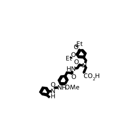 CCOc1ccc(CN(CCC(=O)O)C(=O)CNC(=O)Cc2ccc(NC(=O)Nc3ccccc3C)c(OC)c2)cc1OCC